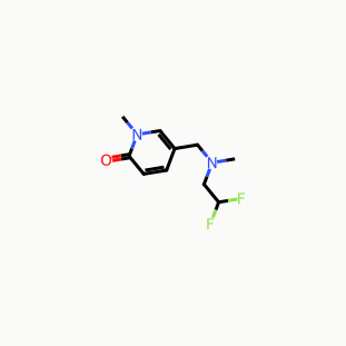 CN(Cc1ccc(=O)n(C)c1)CC(F)F